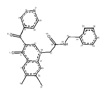 Cc1cc2c(=O)c(C(=O)c3ccncc3)cn(CC(=O)NCc3ccccc3)c2cc1C